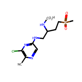 CS(=O)(=O)CCC(CNc1cnc(C#N)c(Cl)n1)NC(=O)O